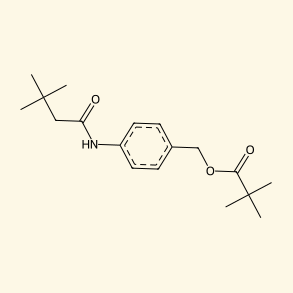 CC(C)(C)CC(=O)Nc1ccc(COC(=O)C(C)(C)C)cc1